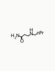 CCCCNCCC(N)=O